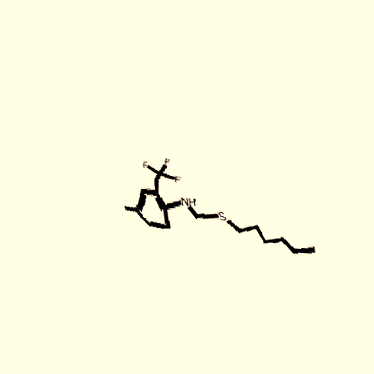 CCCCCCSCNc1ccc(C)cc1C(F)(F)F